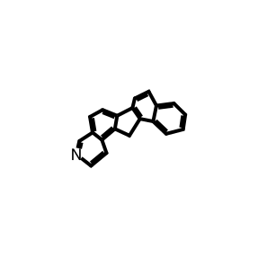 c1ccc2c3c(ccc2c1)-c1ccc2cnccc2c1C3